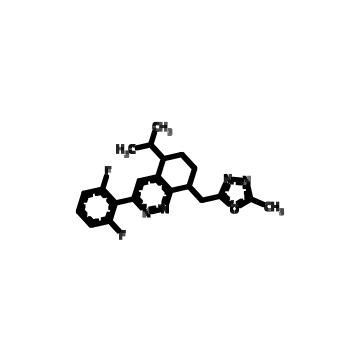 Cc1nnc(CC2CCC(C(C)C)c3cc(-c4c(F)cccc4F)nnc32)o1